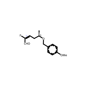 COc1ccc(CO[C@H](C)C/C=C(/F)C=O)cc1